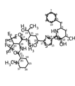 CC(CC(Cc1ccccc1)NC(=O)c1csc(C(O)CC(C(C)C)N(C)C(=O)C(NC(=O)[C@H]2CCCCN2C)C(C(F)(F)F)C(F)(F)F)n1)C(=O)O